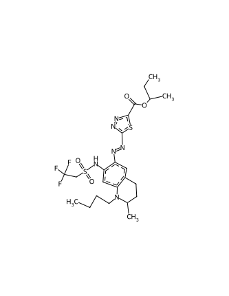 CCCCN1c2cc(NS(=O)(=O)CC(F)(F)F)c(N=Nc3nnc(C(=O)OC(C)CC)s3)cc2CCC1C